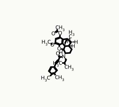 COc1cc(OC(C)=O)c2c3c1O[C@H]1[C@@H](N(CC(C)C)C(=O)C#Cc4ccc(C)c(C)c4)CC[C@H]4[C@@H](C2)N(C)CC[C@@]341